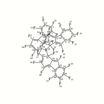 FC1=C2C(=C(F)c3c(F)c(F)c(F)c(F)c32)C(F)(B(C2(F)C(F)=C(F)C(F)=C3C2=C(F)c2c(F)c(F)c(F)c(F)c23)C2(F)C(F)=C(F)C(F)=C3C2=C(F)c2c(F)c(F)c(F)c(F)c23)C(F)=C1F